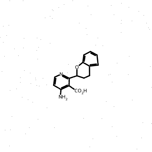 Nc1ccnc(C2CCc3ccccc3O2)c1C(=O)O